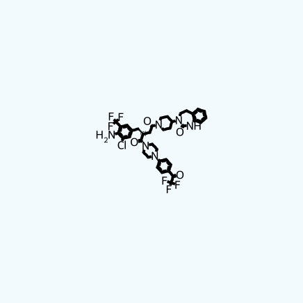 Nc1c(Cl)cc(C[C@@H](CC(=O)N2CCC(N3CCc4ccccc4NC3=O)CC2)C(=O)N2CCN(c3ccc(C(=O)C(F)(F)F)cc3)CC2)cc1C(F)(F)F